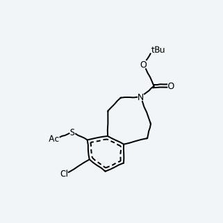 CC(=O)Sc1c(Cl)ccc2c1CCN(C(=O)OC(C)(C)C)CC2